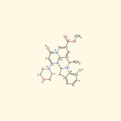 COC(=O)c1cc(C(C)N2CCc3cccc(Cl)c32)c2nc(N3CCOCC3)cc(=O)n2c1